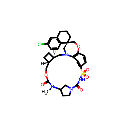 CN1C(=O)OC[C@@H]2CC[C@H]2CN2C[C@@]3(CCCc4cc(Cl)ccc43)COc3ccc(cc32)S(=O)(=O)NC(=O)N2CCC1C2